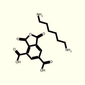 NCCCCCCN.O=C(O)c1cc(C(=O)O)c2c(c1)C(=O)OC2=O